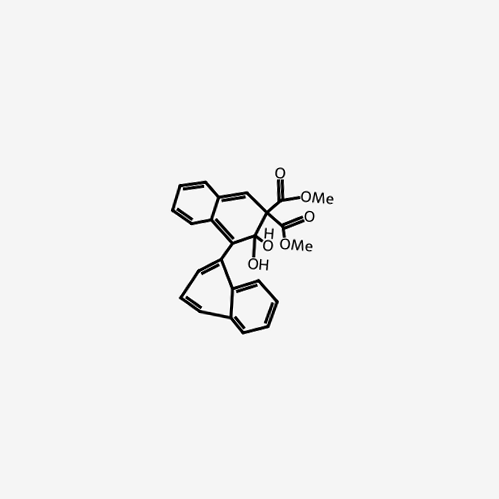 COC(=O)C1(C(=O)OC)C=c2ccccc2=C(c2cccc3ccccc23)C1(O)O